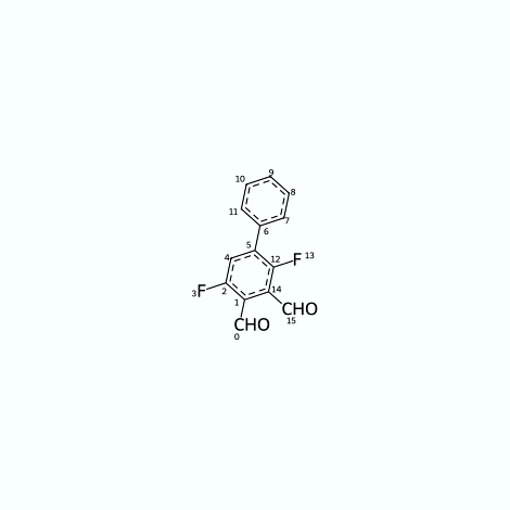 O=Cc1c(F)cc(-c2ccccc2)c(F)c1C=O